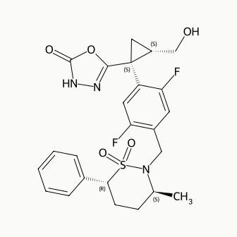 C[C@H]1CC[C@H](c2ccccc2)S(=O)(=O)N1Cc1cc(F)c([C@]2(c3n[nH]c(=O)o3)C[C@@H]2CO)cc1F